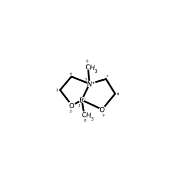 C[B-]12OCC[N+]1(C)CCO2